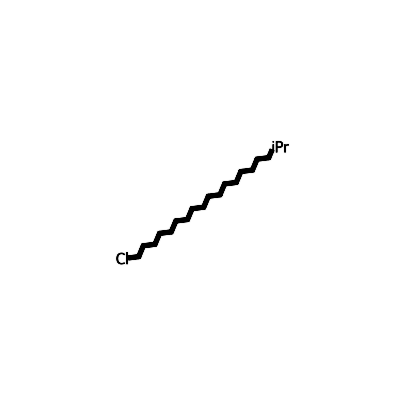 CC(C)CCCCCCCCCCCCCCCCCCl